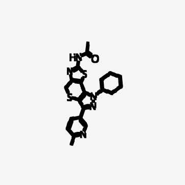 CC(=O)Nc1nc2c(s1)-c1c(c(-c3ccc(C)nc3)nn1C1CCCCC1)SC2